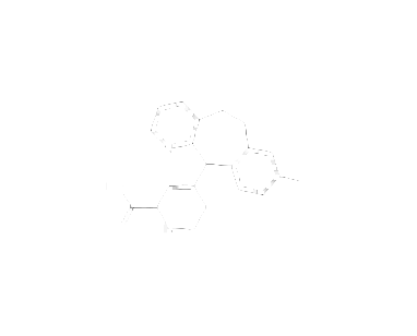 O=C(O)C1C=C(C2c3ccc(Cl)cc3CCc3cccnc32)CCN1